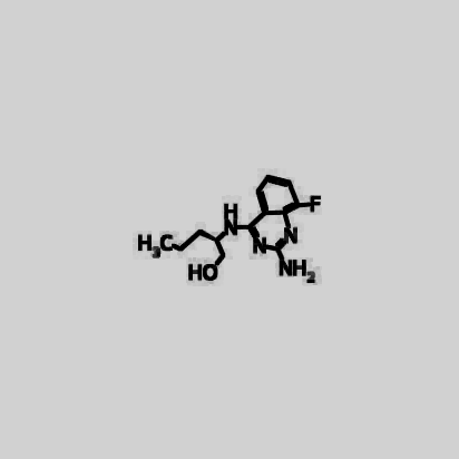 CCC[C@H](CO)Nc1nc(N)nc2c(F)cccc12